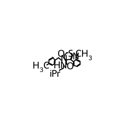 Cc1ccc(CCN2C(=O)CSc3c(c4ccccc4n3C)C2C(=O)NCCC(C)C)cc1